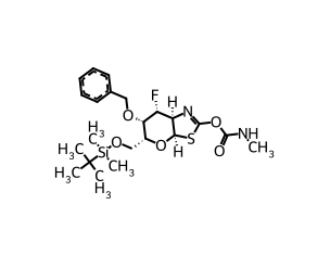 CNC(=O)OC1=N[C@@H]2[C@@H](F)[C@@H](OCc3ccccc3)[C@@H](CO[Si](C)(C)C(C)(C)C)O[C@@H]2S1